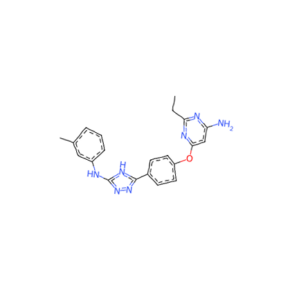 CCc1nc(N)cc(Oc2ccc(-c3nnc(Nc4cccc(C)c4)[nH]3)cc2)n1